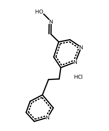 Cl.O/N=C/c1cnnc(CCc2cccnc2)c1